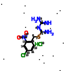 Cl.N=C(N)N=C(N)SCc1ccc(Cl)cc1[N+](=O)[O-]